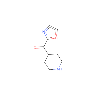 O=C(c1ncco1)C1CCNCC1